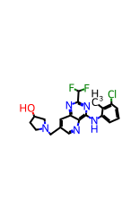 Cc1c(Cl)cccc1Nc1nc(C(F)F)nc2cc(CN3CCC(O)C3)cnc12